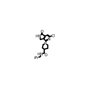 CC(C)CNC(=O)C1CCN(c2nc(Cl)cc3c2CNC3=O)CC1